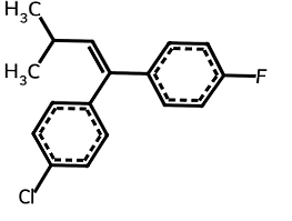 CC(C)C=C(c1ccc(F)cc1)c1ccc(Cl)cc1